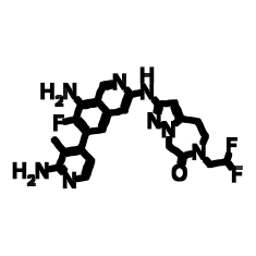 Cc1c(-c2cc3cc(Nc4cc5n(n4)CC(=O)N(CC(F)F)CC5)ncc3c(N)c2F)ccnc1N